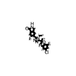 CCn1c(-c2cc3c(cc2F)C(=O)NC3)nnc1C(C)(C)Oc1c(F)cc(Cl)cc1F